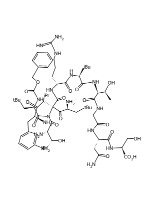 CCC(C)[C@H](NC(=O)[C@@H](CCCNC(=N)N)NC(=O)[C@](C(=O)[C@@H](N)CC(C)(C)C)(C(C(=O)[C@@H](N)Cc1cccc(N)c1)C(C)C)N(C(=O)[C@@H](N)[C@H](O)C(C)C)C(=O)[C@@H](CC(C)(C)C)NC(=O)OCc1ccccc1)C(=O)N[C@H](C(=O)NCC(=O)N[C@@H](CC(N)=O)C(=O)N[C@@H](CO)C(=O)O)[C@H](C)O